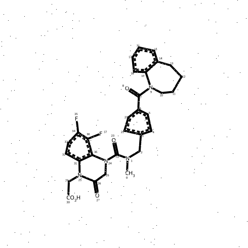 CN(Cc1ccc(C(=O)N2CCCCc3ccccc32)cc1)C(=O)N1CC(=O)N(CC(=O)O)c2ccc(F)c(F)c21